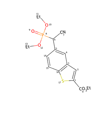 CCOC(=O)c1cc2cc(C(C#N)P(=O)(OCC)OCC)ccc2s1